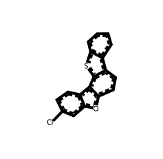 Clc1ccc2c(c1)oc1ccc3c4ccccc4sc3c12